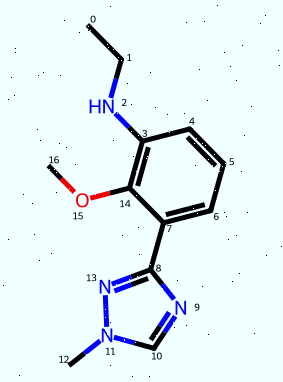 CCNc1cccc(-c2ncn(C)n2)c1OC